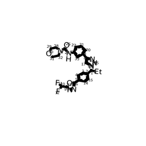 CCC(c1ccc(-c2nnc(C(F)F)o2)cc1)n1cc(-c2cccc(NC(=O)N3CCOCC3)c2)nn1